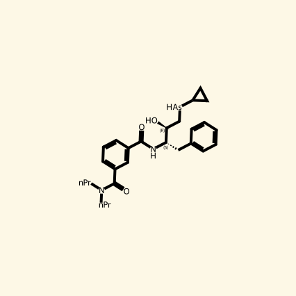 CCCN(CCC)C(=O)c1cccc(C(=O)N[C@@H](Cc2ccccc2)[C@@H](O)C[AsH]C2CC2)c1